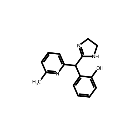 Cc1cccc(C(C2=NCCN2)c2ccccc2O)n1